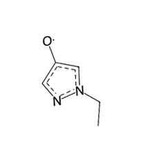 CCn1cc([O])cn1